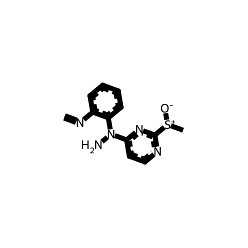 C=Nc1ccccc1N(N)c1ccnc([S+](C)[O-])n1